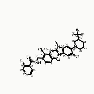 Cn1c(Nc2c(Cl)ccc(CNC(=O)c3ccncc3F)c2Cl)nc2cc(Cl)c(N3CCCC(C(F)(F)F)C3)cc21